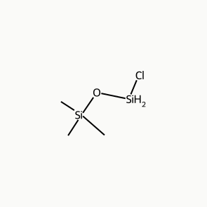 C[Si](C)(C)O[SiH2]Cl